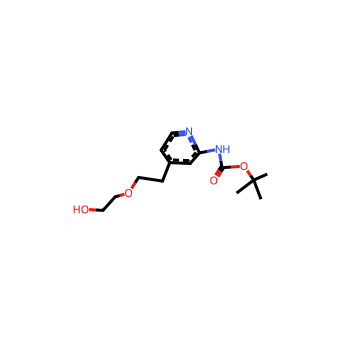 CC(C)(C)OC(=O)Nc1cc(CCOCCO)ccn1